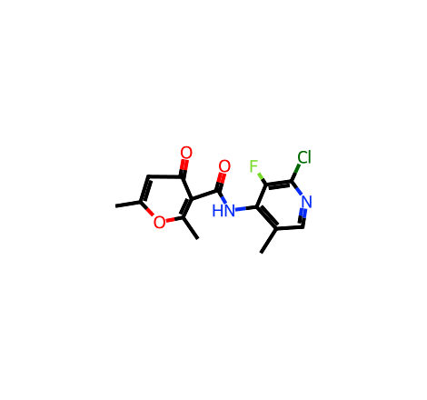 Cc1cc(=O)c(C(=O)Nc2c(C)cnc(Cl)c2F)c(C)o1